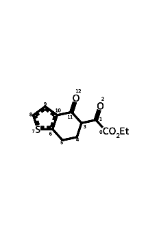 CCOC(=O)C(=O)C1CCc2sccc2C1=O